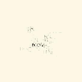 CO/N=C(\C(=O)N[C@@H]1C(=O)N2C(C(=O)O)=CCS[C@H]12)c1csc(N)n1.CO[C@@]1(NC(=O)C(C(=O)O)c2ccc(O)cc2)C(=O)N2C(C(=O)O)=C(CSc3nnnn3C)CO[C@@H]21